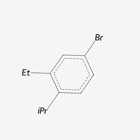 CCc1cc(Br)ccc1C(C)C